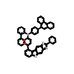 c1ccc(-c2nc3cc4oc5cccc(-c6ccc(N(c7ccc(-c8cc9ccccc9c9ccccc89)cc7)c7ccccc7-c7ccccc7)cc6)c5c4cc3o2)cc1